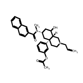 C=CCN1CC[C@@]2(c3cccc(OC(C)=O)c3)C[C@H](N(C)C(=O)c3ccc4ccccc4c3)CC(O)[C@@H]2C1